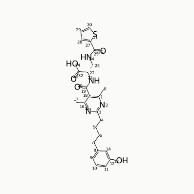 Cc1nc(CCCCc2cccc(O)c2)nc(C)c1C(=O)N[C@@H](CNC(=O)c1cccs1)C(=O)O